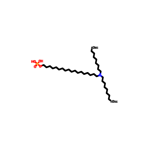 CCCCCCCCCCCCCCCCCCN(CCCCCCCCCCCCCCCCCC)CCCCCCCCCCCCCCCCCCOP(=O)(O)O